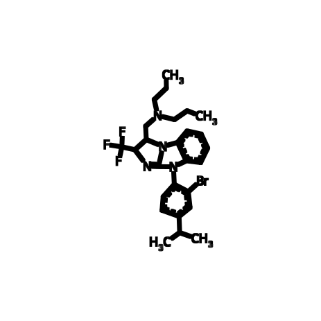 CCCN(CCC)CC1C(C(F)(F)F)N=C2N(c3ccc(C(C)C)cc3Br)c3ccccc3N21